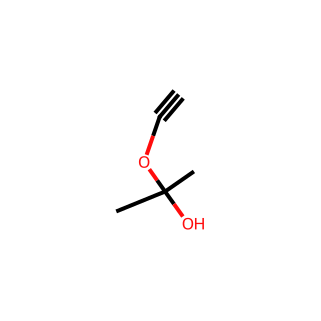 C#COC(C)(C)O